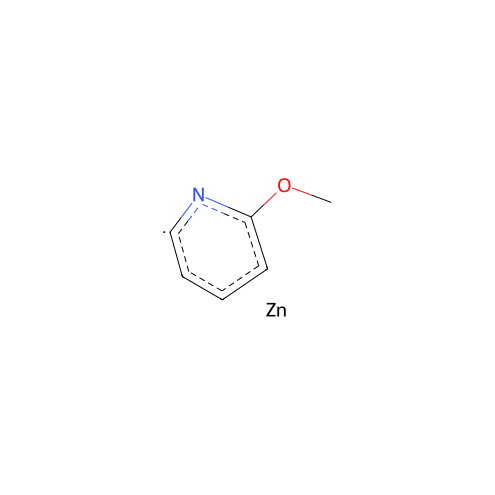 COc1ccc[c]n1.[Zn]